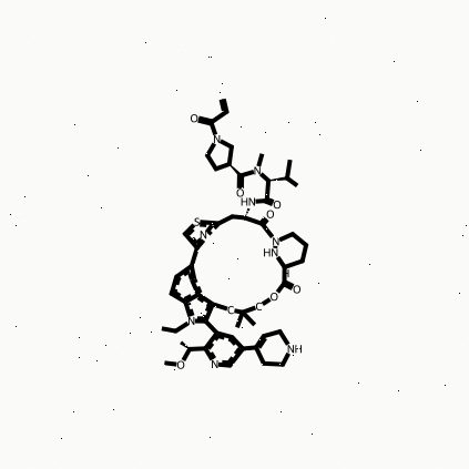 C=CC(=O)N1CC[C@H](C(=O)N(C)[C@H](C(=O)N[C@H]2Cc3nc(cs3)-c3ccc4c(c3)c(c(-c3cc(C5=CCNCC5)cnc3[C@H](C)OC)n4CC)CC(C)(C)COC(=O)[C@@H]3CCCN(N3)C2=O)C(C)C)C1